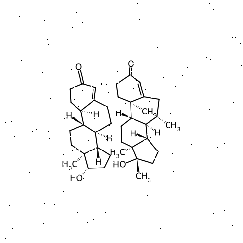 C[C@H]1CC2=CC(=O)CC[C@]2(C)[C@H]2CC[C@@]3(C)[C@@H](CC[C@]3(C)O)[C@H]12.C[C@]12CC[C@H]3[C@@H](CCC4=CC(=O)CC[C@@H]43)[C@@H]1CC[C@@H]2O